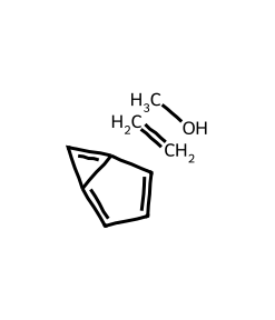 C=C.CO.c1cc2cc-2c1